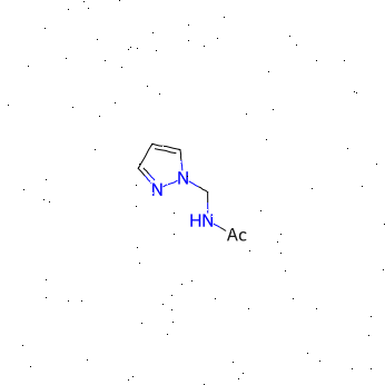 CC(=O)NCn1cccn1